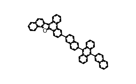 c1ccc2cc(-c3c4ccccc4c(-c4ccc5cc(-c6ccc7c(c6)c6ccccc6c6c8ccc9ccccc9c8oc76)ccc5c4)c4ccccc34)ccc2c1